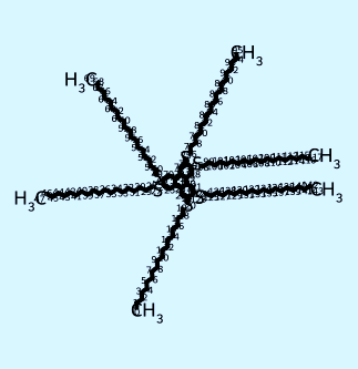 CCCCCCCCCCCCCCCCCCCCSc1cc2c3cc(SCCCCCCCCCCCCCCCCCCCC)c(SCCCCCCCCCCCCCCCCCCCC)cc3c3cc(SCCCCCCCCCCCCCCCCCCCC)c(SCCCCCCCCCCCCCCCCCCCC)cc3c2cc1SCCCCCCCCCCCCCCCCCCCC